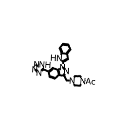 CC(=O)N1CCN(Cc2nn(-c3cc4ccccc4[nH]3)c3cc(-c4nnn[nH]4)ccc23)CC1